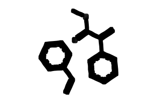 C=C(C(=O)OC)c1ccccc1.C=Cc1ccccc1